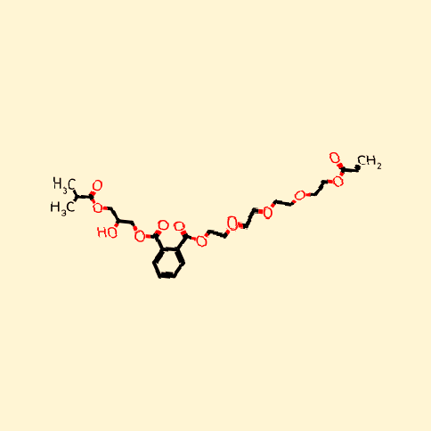 C=CC(=O)OCCOCCOCCOCCOC(=O)c1ccccc1C(=O)OCC(O)COC(=O)C(C)C